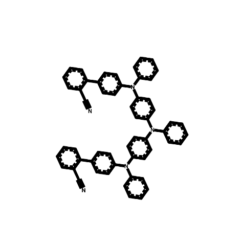 N#Cc1ccccc1-c1ccc(N(c2ccccc2)c2ccc(N(c3ccccc3)c3ccc(N(c4ccccc4)c4ccc(-c5ccccc5C#N)cc4)cc3)cc2)cc1